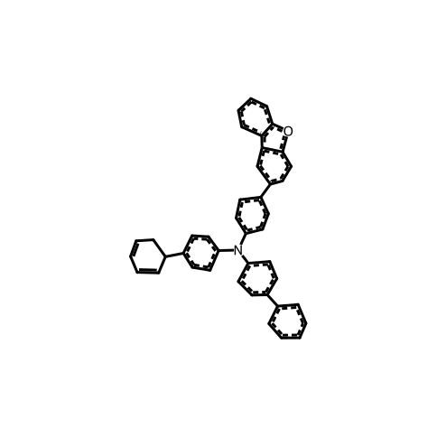 C1=CCC(c2ccc(N(c3ccc(-c4ccccc4)cc3)c3ccc(-c4ccc5oc6ccccc6c5c4)cc3)cc2)C=C1